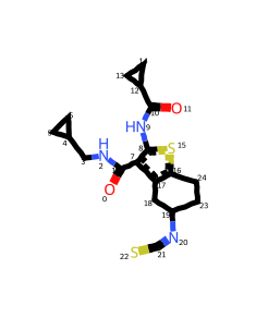 O=C(NCC1CC1)c1c(NC(=O)C2CC2)sc2c1CC(N=C=S)CC2